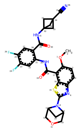 COc1ccc2nc(N3C4COCC3C4)sc2c1C(=O)Nc1cc(F)c(F)cc1C(=O)NC12CC(C#N)(C1)C2